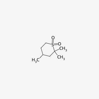 CC1CCS(=O)(=O)C(C)(C)C1